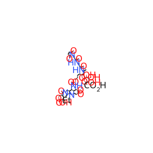 C=C(/C=C(\C=C/CCOC(=O)NCc1c2c(nc3cc4c(cc13)OCO4)-c1cc3c(c(=O)n1C2)COC(=O)[C@]3(O)CC)O[C@@H]1OC(C(=O)O)[C@@H](O)C(O)C1O)NC(=O)CCNC(=O)CCN1C(=O)C=CC1=O